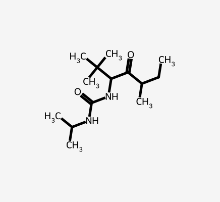 CCC(C)C(=O)C(NC(=O)NC(C)C)C(C)(C)C